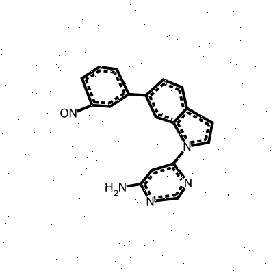 Nc1cc(-n2ccc3ccc(-c4cccc(N=O)c4)cc32)ncn1